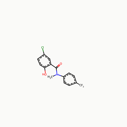 CN(C(=O)c1cc(Cl)ccc1O)c1ccc(C(F)(F)F)cc1